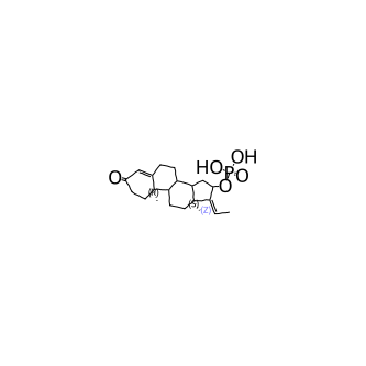 C/C=C1\C(OP(=O)(O)O)CC2C3CCC4=CC(=O)CC[C@]4(C)C3CC[C@]12C